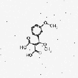 COC(=C(C(=O)O)C(=O)O)c1cccc(OC)c1